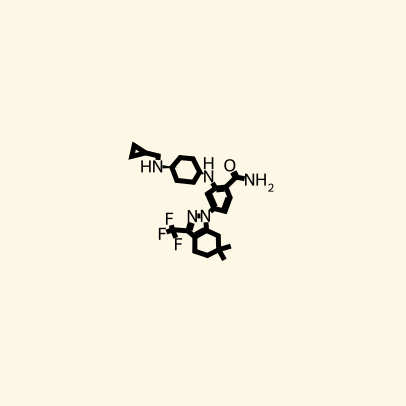 CC1(C)CCc2c(C(F)(F)F)nn(-c3ccc(C(N)=O)c(N[C@H]4CC[C@H](NCC5CC5)CC4)c3)c2C1